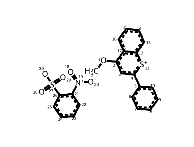 COc1cc(-c2ccccc2)[s+]c2ccccc12.O=[N+]([O-])c1ccccc1S(=O)(=O)[O-]